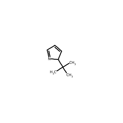 CC(C)(C)[C]1C=CC=N1